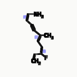 C=C/C(F)=C\C=C(/C)C#C/C=C\N